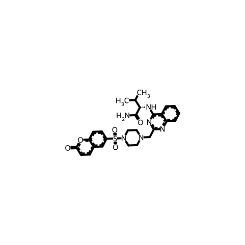 CC(C)[C@H](Nc1nc(CN2CCN(S(=O)(=O)c3ccc4oc(=O)ccc4c3)CC2)nc2ccccc12)C(N)=O